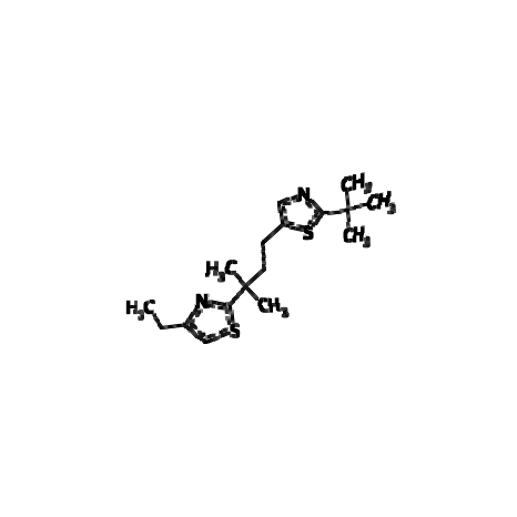 CCc1csc(C(C)(C)CCc2cnc(C(C)(C)C)s2)n1